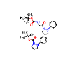 CC(C)(C)OC(=O)N1CCCN1c1ccccc1.CC(C)(C)OC(=O)NCC(=O)N1CCCN1c1ccccc1